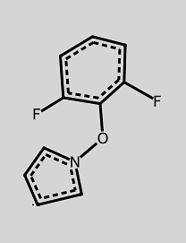 Fc1cccc(F)c1On1c[c]cc1